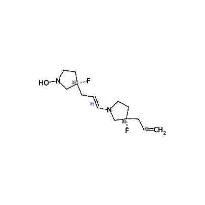 C=CC[C@]1(F)CCN(/C=C/C[C@]2(F)CCN(O)C2)C1